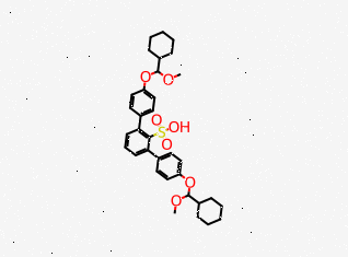 COC(Oc1ccc(-c2cccc(-c3ccc(OC(OC)C4CCCCC4)cc3)c2S(=O)(=O)O)cc1)C1CCCCC1